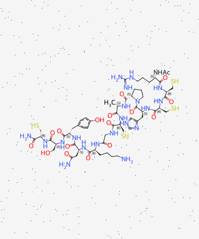 CC(=O)N[C@@H](CCCNC(=N)N)C(=O)N[C@@H](CS)C(=O)N[C@@H](CS)C(=O)N[C@@H](Cc1c[nH]cn1)C(=O)N1CCC[C@H]1C(=O)N[C@@H](C)C(=O)N[C@@H](CS)C(=O)NCC(=O)N[C@@H](CCCCN)C(=O)N[C@@H](CC(N)=O)C(=O)N[C@@H](Cc1ccc(O)cc1)C(=O)N[C@@H](CO)C(=O)N[C@@H](CS)C(N)=O